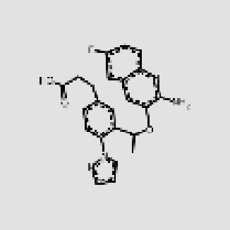 CC(Oc1cc2cc(F)ccc2nc1N)c1cc(CCC(=O)O)ccc1-n1cccn1